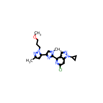 COCCCn1nc(C)cc1-c1cn(C)c(-c2nc(Cl)cc3c2cnn3C2CC2)n1